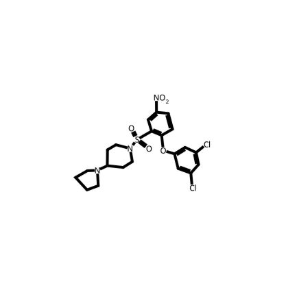 O=[N+]([O-])c1ccc(Oc2cc(Cl)cc(Cl)c2)c(S(=O)(=O)N2CCC(N3CCCC3)CC2)c1